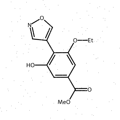 CCOc1cc(C(=O)OC)cc(O)c1-c1cnoc1